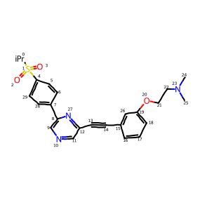 CC(C)S(=O)(=O)c1ccc(-c2cncc(C#Cc3cccc(OCCN(C)C)c3)n2)cc1